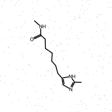 CNC(=O)CCCCCCc1[c]nc(C)[nH]1